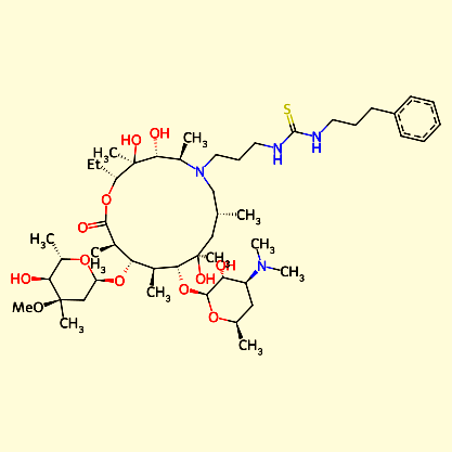 CC[C@H]1OC(=O)[C@H](C)[C@@H](O[C@H]2C[C@@](C)(OC)[C@@H](O)[C@H](C)O2)[C@H](C)[C@@H](O[C@@H]2O[C@H](C)C[C@H](N(C)C)[C@H]2O)[C@](C)(O)C[C@@H](C)CN(CCCNC(=S)NCCCc2ccccc2)[C@H](C)[C@@H](O)[C@]1(C)O